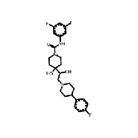 O=C(Nc1cc(F)cc(F)c1)N1CCC(O)(C(O)CN2CCC(c3ccc(F)cc3)CC2)CC1